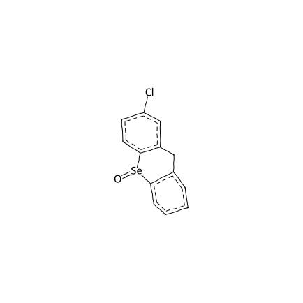 O=[Se]1c2ccccc2Cc2cc(Cl)ccc21